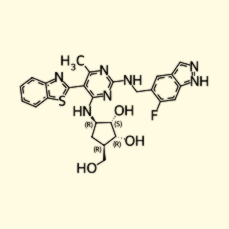 Cc1nc(NCc2cc3cn[nH]c3cc2F)nc(N[C@@H]2C[C@H](CO)[C@@H](O)[C@H]2O)c1-c1nc2ccccc2s1